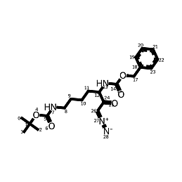 CC(C)(C)OC(=O)NCCCCC(NC(=O)OCc1ccccc1)C(=O)C=[N+]=[N-]